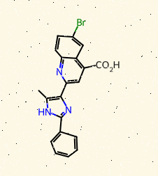 Cc1[nH]c(-c2ccccc2)nc1-c1cc(C(=O)O)c2cc(Br)ccc2n1